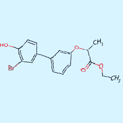 CCOC(=O)C(C)Oc1cccc(-c2ccc(O)c(Br)c2)c1